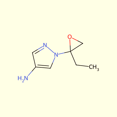 CCC1(n2cc(N)cn2)CO1